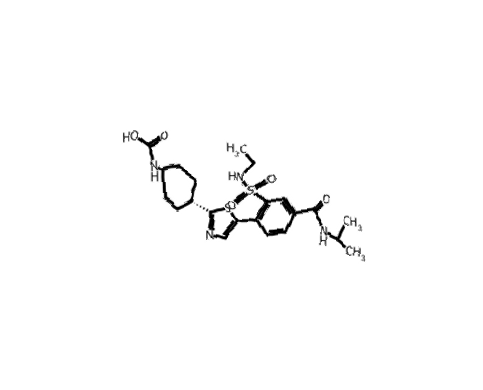 CCNS(=O)(=O)c1cc(C(=O)NC(C)C)ccc1-c1cnc([C@H]2CC[C@H](NC(=O)O)CC2)s1